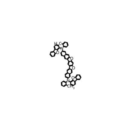 Cc1ccccc1N(c1ccc2cc3c(cc2c1)oc1cc2oc4cc5cc(N(c6ccccc6C)c6cccc7c6oc6ccccc67)ccc5cc4c2cc13)c1cccc2c1oc1ccccc12